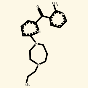 Cc1ncccc1C(=O)c1cccc(N2CCCN(CCC(C)(C)C)CC2)n1